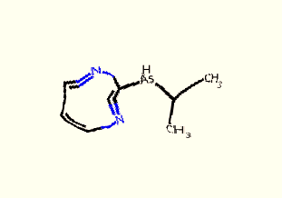 CC(C)[AsH]c1ncccn1